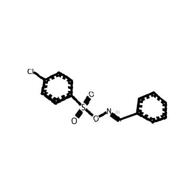 O=S(=O)(O/N=[C]/c1ccccc1)c1ccc(Cl)cc1